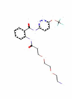 NCCOCCOCCC(=O)Nc1ccccc1C(=O)Nc1ccc(OC(F)(F)F)nn1